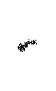 COc1ccc([C@H]2C[C@H](c3noc(CN4C=NC5N=CN(C)C5C4=O)n3)CO2)cc1